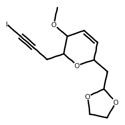 COC1C=CC(CC2OCCO2)OC1CC#CI